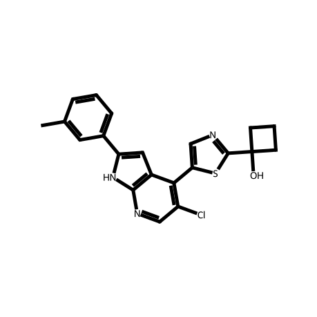 Cc1cccc(-c2cc3c(-c4cnc(C5(O)CCC5)s4)c(Cl)cnc3[nH]2)c1